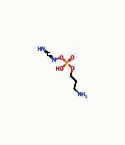 N=C=NOP(=O)(O)OCCCN